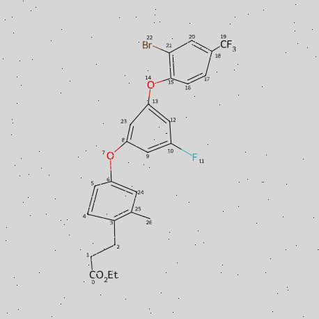 CCOC(=O)CCc1ccc(Oc2cc(F)cc(Oc3ccc(C(F)(F)F)cc3Br)c2)cc1C